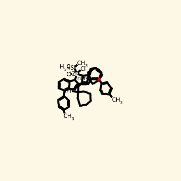 CCCC1(CC2=Cc3c(-c4ccc(C)cc4)cccc3[CH]2[Zr]([Cl])([Cl])([CH]2C(CC3(CCC)CCCCCC3)=Cc3c(-c4ccc(C)cc4)cccc32)[SiH](C)C)CCCCCC1